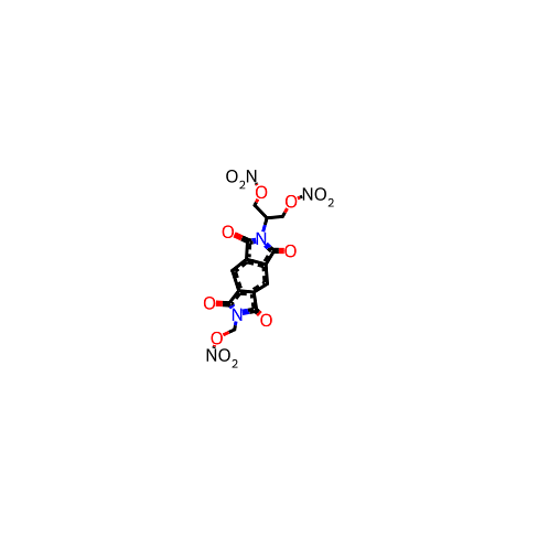 O=c1c2cc3c(=O)n(C(CO[N+](=O)[O-])CO[N+](=O)[O-])c(=O)c3cc2c(=O)n1CO[N+](=O)[O-]